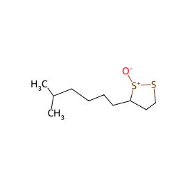 CC(C)CCCCC1CCS[S+]1[O-]